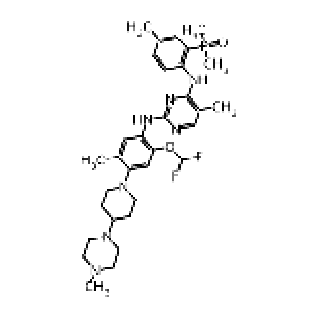 Cc1ccc(Nc2nc(Nc3cc(C)c(N4CCC(N5CCN(C)CC5)CC4)cc3OC(F)F)ncc2C)c(P(C)(C)=O)c1